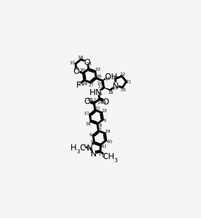 Cc1nn(C)c2cc(-c3ccc(C(=O)C(=O)N[C@H](CN4CCCC4)[C@H](O)c4cc(F)c5c(c4)OCCO5)cc3)ccc12